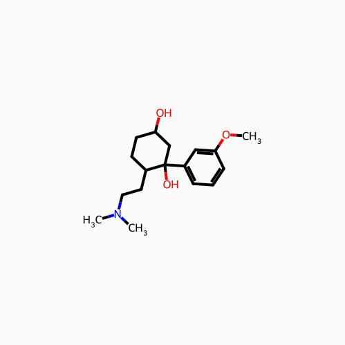 COc1cccc(C2(O)CC(O)CCC2CCN(C)C)c1